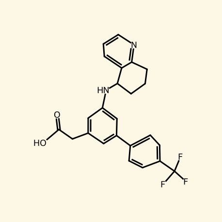 O=C(O)Cc1cc(NC2CCCc3ncccc32)cc(-c2ccc(C(F)(F)F)cc2)c1